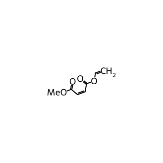 C=COC(=O)/C=C\C(=O)OC